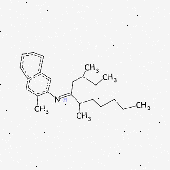 CCCCCC(C)/C(CC(C)CC)=N/c1cc2ccccc2cc1C